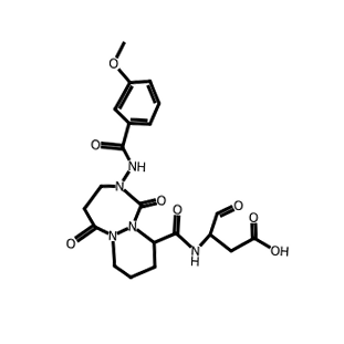 COc1cccc(C(=O)NN2CCC(=O)N3CCCC(C(=O)NC(C=O)CC(=O)O)N3C2=O)c1